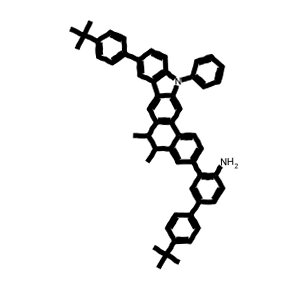 CC1c2cc(-c3cc(-c4ccc(C(C)(C)C)cc4)ccc3N)ccc2-c2cc3c(cc2C1C)c1cc(-c2ccc(C(C)(C)C)cc2)ccc1n3-c1ccccc1